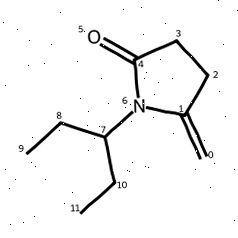 C=C1CCC(=O)N1C(CC)CC